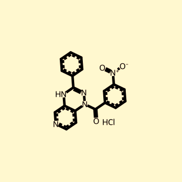 Cl.O=C(c1cccc([N+](=O)[O-])c1)N1N=C(c2ccccc2)Nc2cnccc21